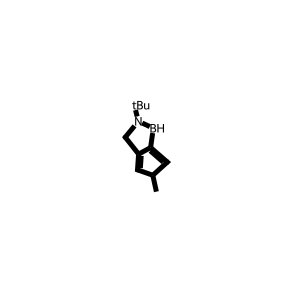 CC1C=C2BN(C(C)(C)C)CC2=C1